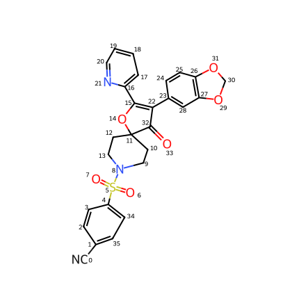 N#Cc1ccc(S(=O)(=O)N2CCC3(CC2)OC(c2ccccn2)=C(c2ccc4c(c2)OCO4)C3=O)cc1